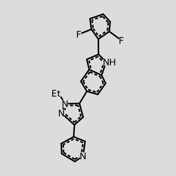 CCn1nc(-c2cccnc2)cc1-c1ccc2[nH]c(-c3c(F)cccc3F)cc2c1